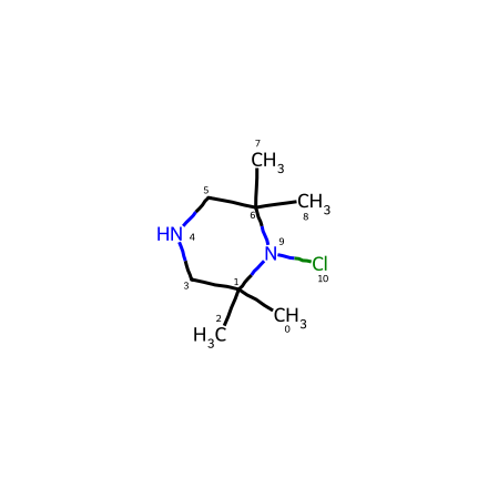 CC1(C)CNCC(C)(C)N1Cl